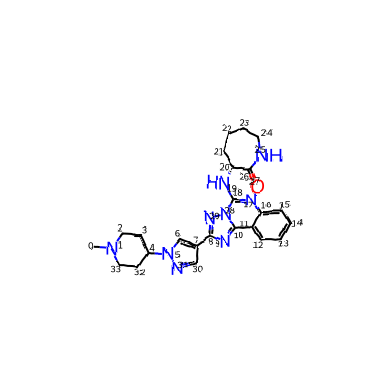 CN1CCC(n2cc(-c3nc4c5ccccc5nc(N[C@@H]5CCCCNC5=O)n4n3)cn2)CC1